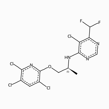 C[C@@H](COc1nc(Cl)c(Cl)cc1Cl)Nc1ncnc(C(F)F)c1Cl